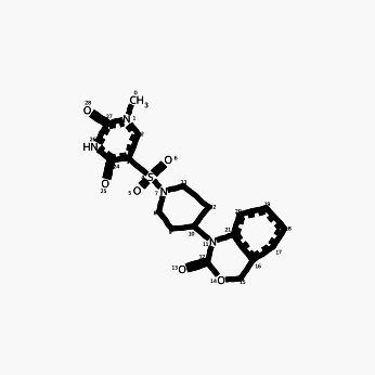 Cn1cc(S(=O)(=O)N2CCC(N3C(=O)OCc4ccccc43)CC2)c(=O)[nH]c1=O